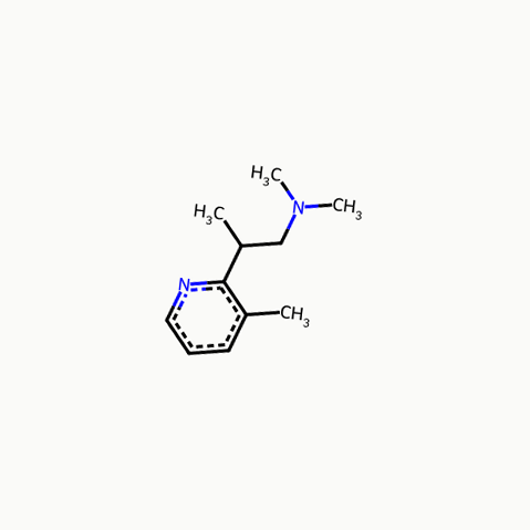 Cc1cccnc1C(C)CN(C)C